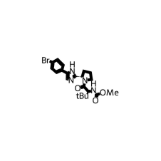 COC(=O)N[C@H](C(=O)N1CCC[C@H]1c1ncc(-c2ccc(Br)cc2)[nH]1)C(C)(C)C